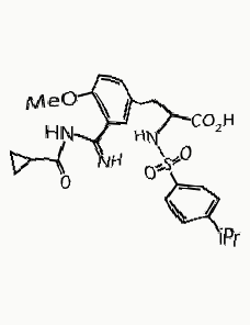 COc1ccc(CC(NS(=O)(=O)c2ccc(C(C)C)cc2)C(=O)O)cc1C(=N)NC(=O)C1CC1